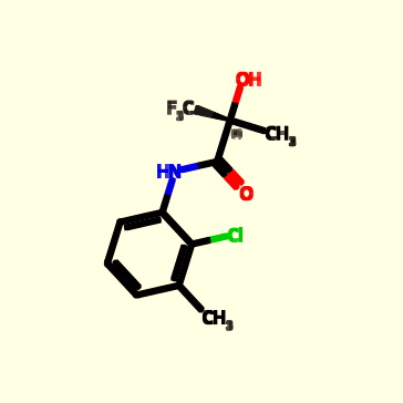 Cc1cccc(NC(=O)[C@@](C)(O)C(F)(F)F)c1Cl